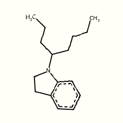 CCCCC(CCC)N1CCc2ccccc21